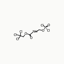 O=C(NCCOP(=O)(Cl)Cl)OCC(Cl)(Cl)Cl